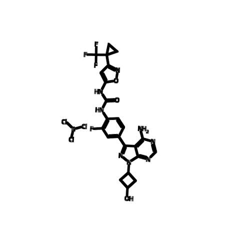 ClB(Cl)Cl.Nc1ncnc2c1c(-c1ccc(NC(=O)Nc3cc(C4(C(F)(F)F)CC4)no3)c(F)c1)nn2C1CC(O)C1